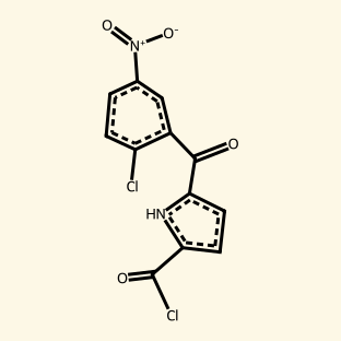 O=C(Cl)c1ccc(C(=O)c2cc([N+](=O)[O-])ccc2Cl)[nH]1